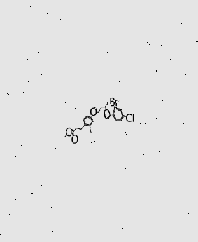 COC(=O)CCc1ccc(OCCC(C)Oc2ccc(Cl)cc2Br)cc1C